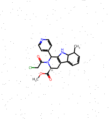 COC(=O)[C@@H]1CC2=C(NC3C2=CC=CC3C)C(c2ccncc2)N1C(=O)CCl